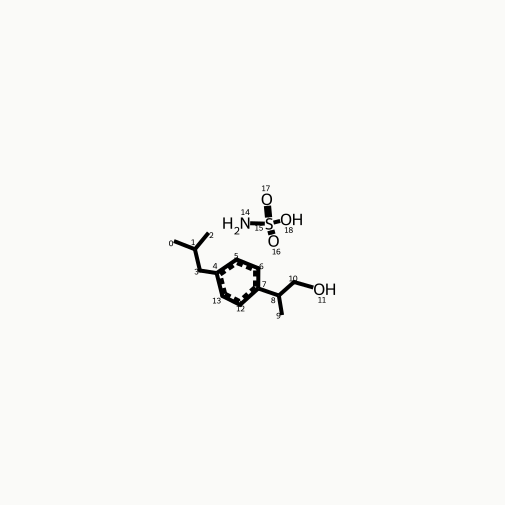 CC(C)Cc1ccc(C(C)CO)cc1.NS(=O)(=O)O